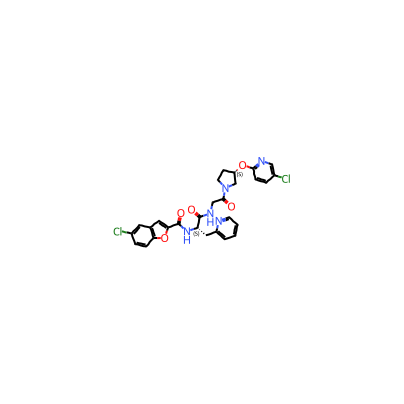 O=C(N[C@@H](Cc1ccccn1)C(=O)NCC(=O)N1CC[C@H](Oc2ccc(Cl)cn2)C1)c1cc2cc(Cl)ccc2o1